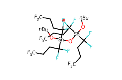 CCCC[O][Sn]([O][Sn]([O]CCCC)([C](F)(F)CCC(F)(F)F)[C](F)(F)CCC(F)(F)F)([C](F)(F)CCC(F)(F)F)[C](F)(F)CCC(F)(F)F